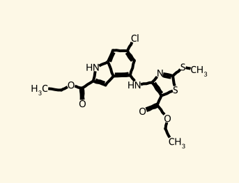 CCOC(=O)c1cc2c(Nc3nc(SC)sc3C(=O)OCC)cc(Cl)cc2[nH]1